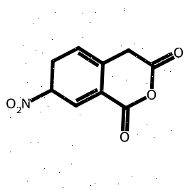 O=C1CC2=CCC([N+](=O)[O-])C=C2C(=O)O1